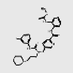 CC(C)(C)OC(=O)Nc1ccccc1NC(=O)c1ccc(CN(CCCN2CCOCC2)C(=O)Nc2cccc(F)c2)cn1